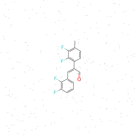 Cc1ccc(C(C=O)=Cc2cccc(F)c2F)c(F)c1F